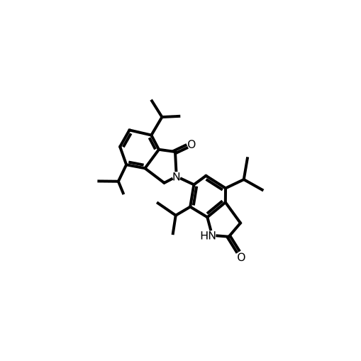 CC(C)c1cc(N2Cc3c(C(C)C)ccc(C(C)C)c3C2=O)c(C(C)C)c2c1CC(=O)N2